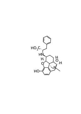 CN1CC[C@]23c4c5ccc(O)c4O[C@H]2[C@@H](N[C@@H](Cc2ccccc2)C(=O)O)CC[C@@]3(O)[C@H]1C5